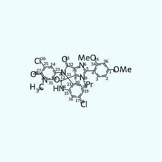 COc1ccc(-c2nc3c(n2C(C)C)C2(C(=O)Nc4cc(Cl)ccc42)N(c2cc(Cl)c(=O)n(C)c2)C3=O)c(OC)c1